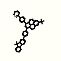 CC(C)(C)c1cc2ccc3c(-c4ccc(-c5ccc6c(c5)C(C)(C)c5ccccc5-6)cc4)cc(-c4ccc(-c5ccccn5)cc4)c4ccc(c1)c2c34